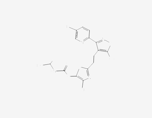 Cc1nc(CCc2c(-c3ccc(F)cn3)noc2C)sc1OC(=O)NC(C)C